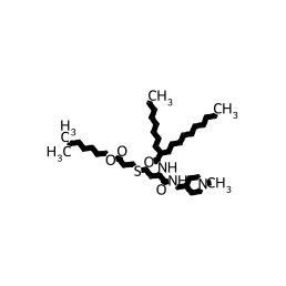 CCCCCCCCCCC(CCCCCCCC)C(=O)NC(CCSCCC(=O)OCCCCCC(C)C)C(=O)NCC1CCN(C)CC1